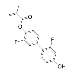 C=C(C)C(=O)Oc1ccc(-c2ccc(O)cc2F)cc1F